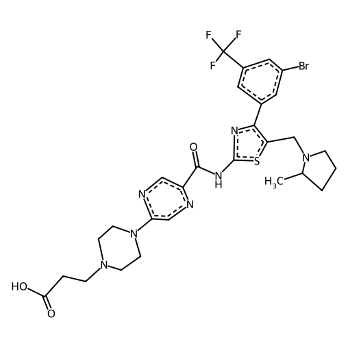 CC1CCCN1Cc1sc(NC(=O)c2cnc(N3CCN(CCC(=O)O)CC3)cn2)nc1-c1cc(Br)cc(C(F)(F)F)c1